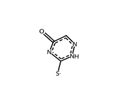 O=c1cn[nH]c([S])n1